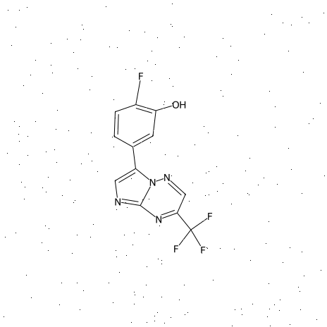 Oc1cc(-c2cnc3nc(C(F)(F)F)cnn23)ccc1F